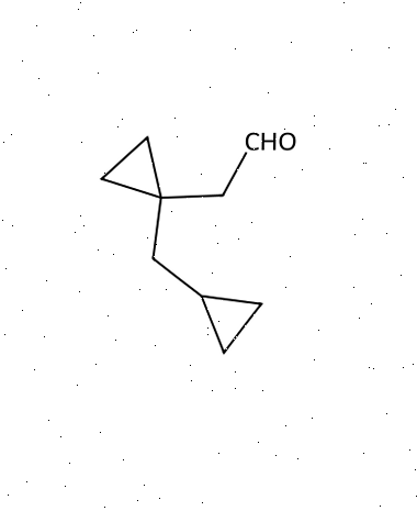 O=CCC1(CC2CC2)CC1